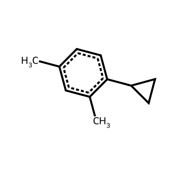 Cc1ccc([C]2CC2)c(C)c1